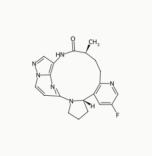 C[C@H]1CCc2ncc(F)cc2[C@@H]2CCCN2c2ccn3ncc(c3n2)NC1=O